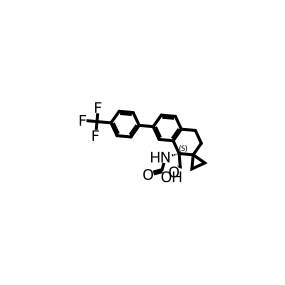 O=C[C@@]1(NC(=O)O)c2cc(-c3ccc(C(F)(F)F)cc3)ccc2CCC12CC2